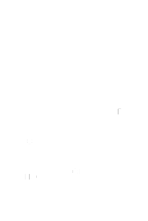 O=C(O)C(O)c1ccc(-c2ccccc2)c(F)c1